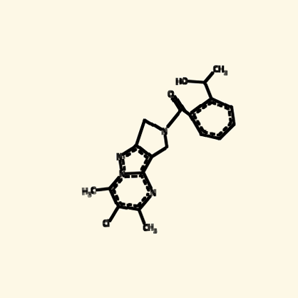 Cc1nc2c3c(nn2c(C)c1Cl)CN(C(=O)c1ccccc1C(C)O)C3